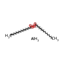 CCCCCCCCCCCCCCCCCC(=O)OOOC(=O)CCCCCCCCCCCCCCCCC.[AlH3]